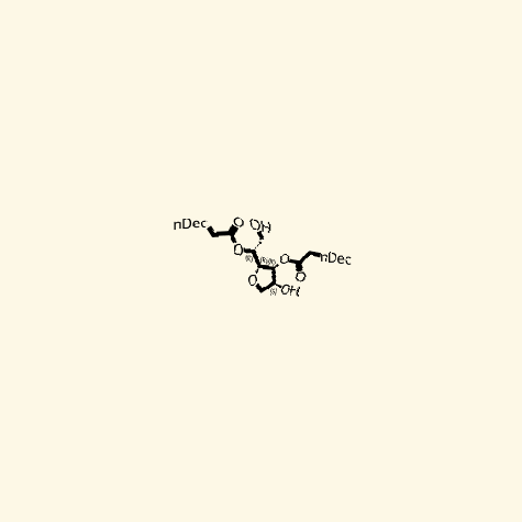 CCCCCCCCCCCC(=O)O[C@H]1[C@@H]([C@@H](CO)OC(=O)CCCCCCCCCCC)OC[C@@H]1O